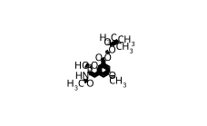 COc1cc2c(c(C(=O)OCOC(=O)C(C)(C)C)c1)OB(O)C(NC(C)=O)C2